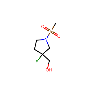 CS(=O)(=O)N1CCC(F)(CO)C1